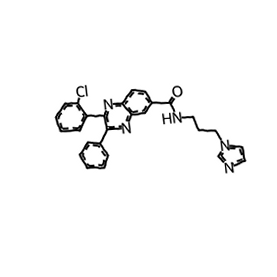 O=C(NCCCn1ccnc1)c1ccc2nc(-c3ccccc3Cl)c(-c3ccccc3)nc2c1